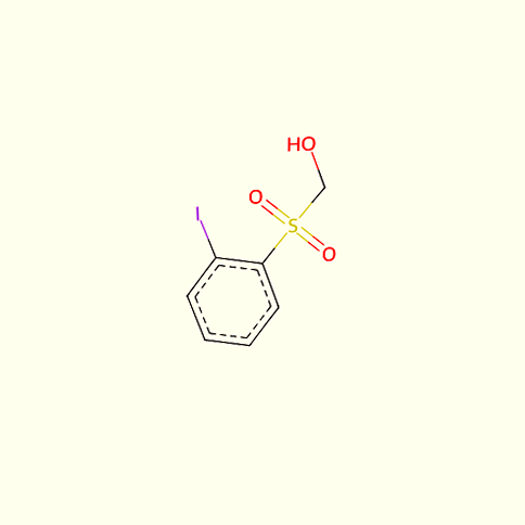 O=S(=O)(CO)c1ccccc1I